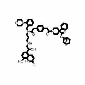 O=C(Cc1ccc(CC(=O)N(CCCNCC(O)c2ccc(O)c3[nH]c(=O)ccc23)Cc2ccccc2N2CCOCC2)cc1)N1CCC(C(=O)OC2CN3CCC2CC3)(c2ccccc2)CC1